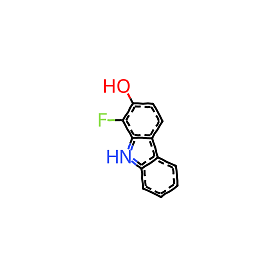 Oc1ccc2c([nH]c3ccccc32)c1F